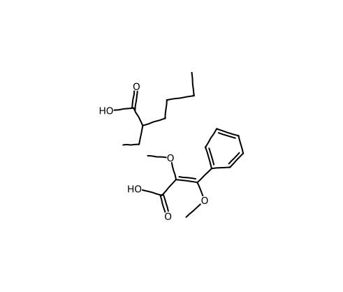 CCCCC(CC)C(=O)O.COC(C(=O)O)=C(OC)c1ccccc1